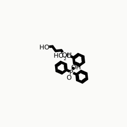 O=C(O)c1ccccc1.O=P(O)(c1ccccc1)c1ccccc1.OCCCO